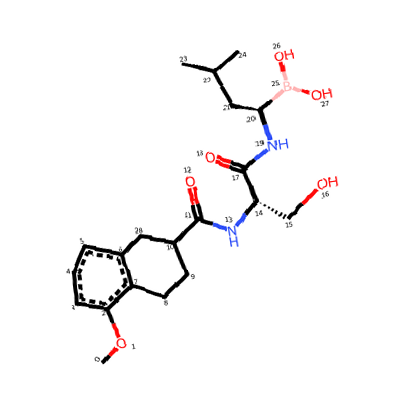 COc1cccc2c1CCC(C(=O)N[C@@H](CO)C(=O)N[C@@H](CC(C)C)B(O)O)C2